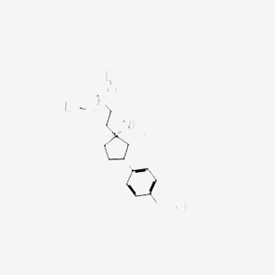 CCCCCCCCc1ccc([C@H]2CC[C@](N)(CCP(=O)(OCC)OCC)C2)cc1